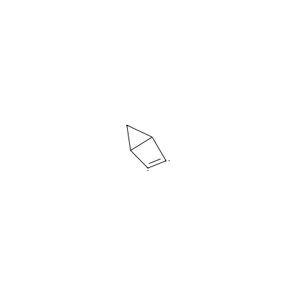 [C]1=[C]C2CC12